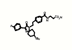 CC(C)(C)C1CCC2(CC1)N=C(c1ccc(F)cc1)C(=O)N2CCc1ccc(C(=O)NCCC(=O)O)cc1